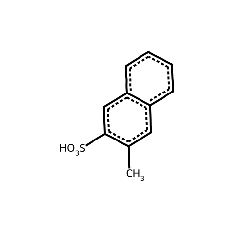 Cc1cc2ccccc2cc1S(=O)(=O)O